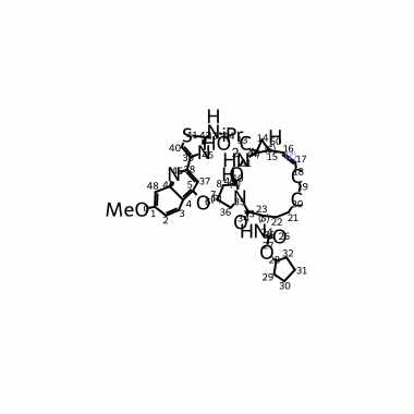 COc1ccc2c(O[C@@H]3C[C@H]4ON[C@]5(C(=O)O)C[C@H]5/C=C\CCCCC[C@H](NC(=O)OC5CCCC5)C(=O)N4C3)cc(-c3csc(NC(C)C)n3)nc2c1